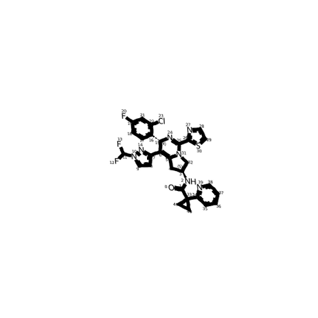 O=C(N[C@H]1CC2=C(c3ccn(C(F)F)n3)[C@H](c3ccc(F)cc3Cl)N=C(c3nccs3)N2C1)C1(c2ccccn2)CC1